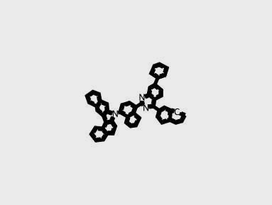 c1ccc(-c2ccc3c(-c4ccc5ccccc5c4)nc(-c4ccc(-n5c6cc7ccccc7cc6c6c7ccccc7ccc65)c5ccccc45)nc3c2)cc1